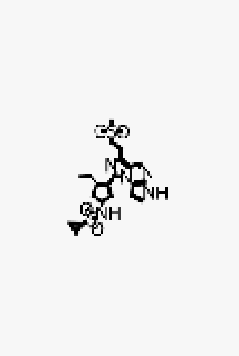 CC[C@@H]1C[C@H](NS(=O)(=O)C2CC2)CC1c1nc(CCS(C)(=O)=O)c2cnc3[nH]ccc3n12